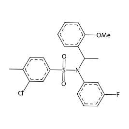 COc1ccccc1C(C)N(c1cccc(F)c1)S(=O)(=O)c1ccc(C)c(Cl)c1